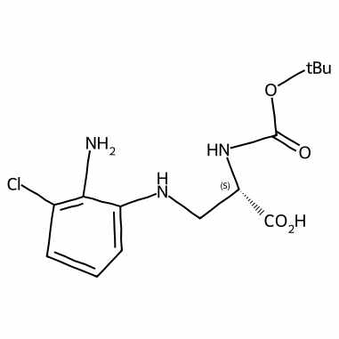 CC(C)(C)OC(=O)N[C@@H](CNc1cccc(Cl)c1N)C(=O)O